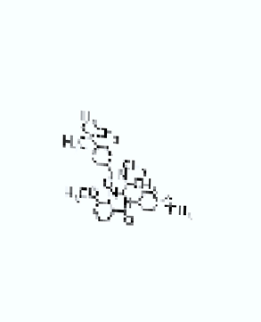 COc1ccc(-n2c(C(C)N(C)C(=O)c3ccc(C(C)(C)C)cc3)nc3c(OC)cccc3c2=O)cc1